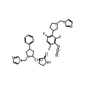 O=C1CCCN1.O=CC1CC(c2ccccc2)CN1Cn1ccnc1.[N-]=[N+]=Nc1c(F)cc(F)c(C2CCN(Cn3ccnc3)C2)c1F